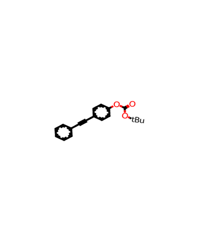 CC(C)(C)OC(=O)Oc1ccc(C#Cc2ccccc2)cc1